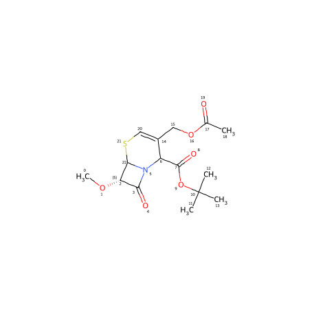 CO[C@H]1C(=O)N2C(C(=O)OC(C)(C)C)C(COC(C)=O)=CSC12